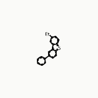 CCc1ccc2sc3ccc(-c4ccccc4)cc3c2c1